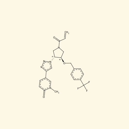 C=CC(=O)N1C[C@@H](n2cc(-c3ccc(=O)n(C)c3)nn2)[C@H](OCc2ccc(C(F)(F)F)cc2)C1